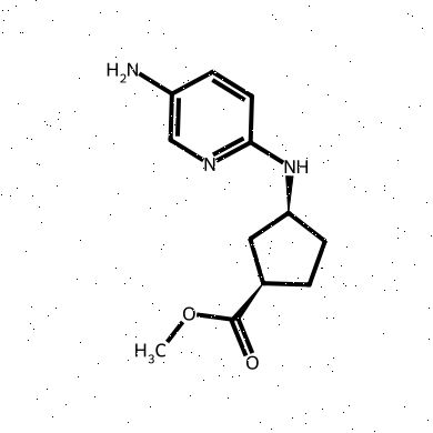 COC(=O)[C@@H]1CC[C@H](Nc2ccc(N)cn2)C1